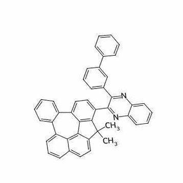 CC1(C)c2ccc3cccc4c3c2-c2c(ccc(-c3nc5ccccc5nc3-c3cccc(-c5ccccc5)c3)c21)-c1ccccc1-4